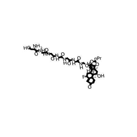 CCCC1O[C@@H]2CC3[C@@H]4C[C@H](F)C5=CC(=O)C=C[C@]5(C)[C@@]4(F)[C@@H](O)C[C@]3(C)[C@]2(C(=O)COCNC(=O)CNC(=O)CNC(=O)CNC(=O)CNC(=O)CNC(=O)[C@@H](N)CO)O1